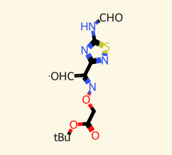 CC(C)(C)OC(=O)CON=C([C]=O)c1nsc(NC=O)n1